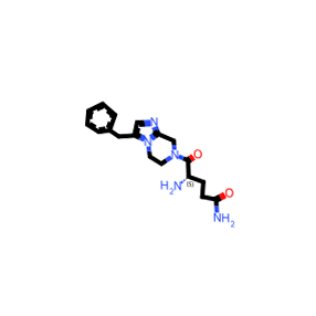 NC(=O)CC[C@H](N)C(=O)N1CCn2c(Cc3ccccc3)cnc2C1